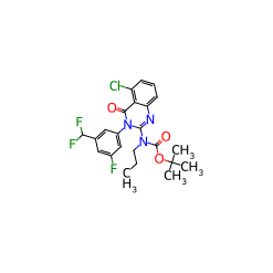 CCCN(C(=O)OC(C)(C)C)c1nc2cccc(Cl)c2c(=O)n1-c1cc(F)cc(C(F)F)c1